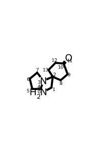 NCC1(N2CCCC2)CCC(=O)CC1